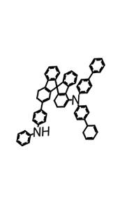 C1=CCC(c2ccc(N(C3=CCCC4=C3c3ccccc3C43C4=C(CCC(c5ccc(Nc6ccccc6)cc5)=C4)c4ccccc43)c3ccc(-c4ccccc4)cc3)cc2)C=C1